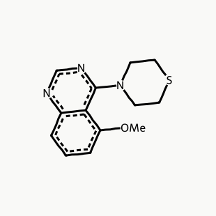 COc1cccc2ncnc(N3CCSCC3)c12